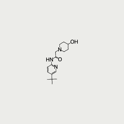 CC(C)(C)c1ccc(NC(=O)CN2CCC(O)CC2)nc1